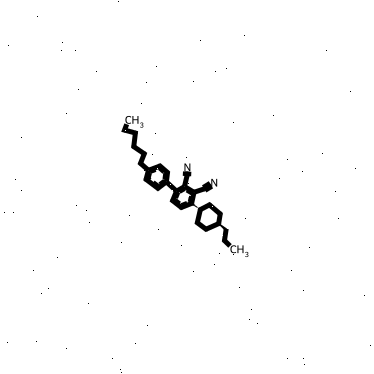 CCCCCCc1ccc(-c2ccc([C@H]3CC[C@H](CCC)CC3)c(C#N)c2C#N)cc1